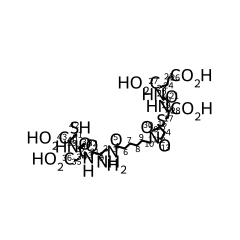 N[C@@H](CNC(=O)CCCCCN1C(=O)CC(SC[C@H](NC(=O)N[C@@H](CCC(=O)O)C(=O)O)C(=O)O)C1=O)C(=O)N[C@@H](CC(=O)O)C(=O)N[C@@H](CS)C(=O)O